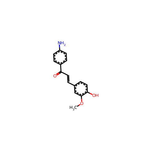 COc1cc(/C=C/C(=O)c2ccc(N)cc2)ccc1O